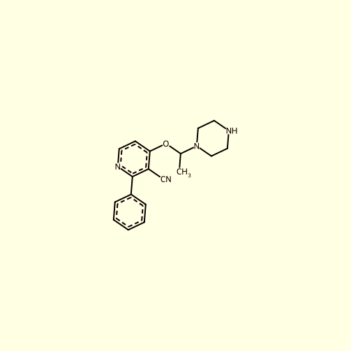 CC(Oc1ccnc(-c2ccccc2)c1C#N)N1CCNCC1